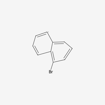 Brc1cccc2[c]cccc12